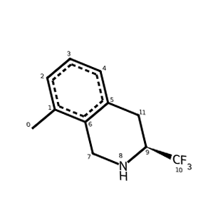 Cc1cccc2c1CN[C@H](C(F)(F)F)C2